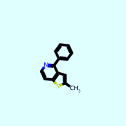 Cc1cc2c(-c3ccccc3)nccc2s1